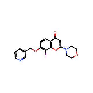 O=c1cc(N2CCOCC2)oc2c(I)c(OCc3cccnc3)ccc12